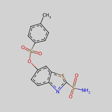 Cc1ccc(S(=O)(=O)Oc2ccc3nc(S(N)(=O)=O)sc3c2)cc1